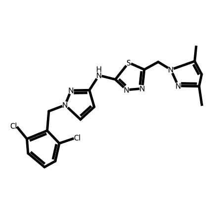 Cc1cc(C)n(Cc2nnc(Nc3ccn(Cc4c(Cl)cccc4Cl)n3)s2)n1